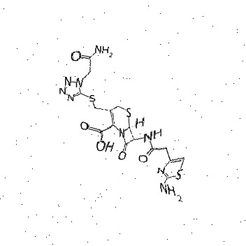 NC(=O)Cn1nnnc1SCC1=C(C(=O)O)N2C(=O)C(NC(=O)Cc3csc(N)n3)[C@@H]2SC1